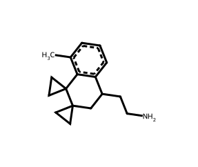 Cc1cccc2c1C1(CC1)C1(CC1)CC2CCN